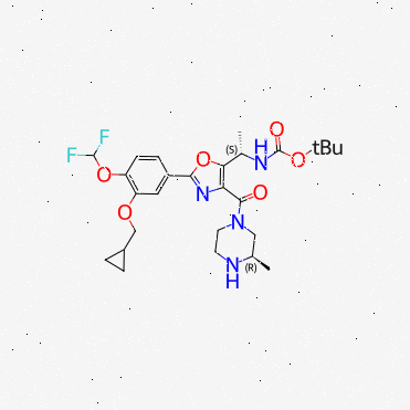 C[C@@H]1CN(C(=O)c2nc(-c3ccc(OC(F)F)c(OCC4CC4)c3)oc2[C@H](C)NC(=O)OC(C)(C)C)CCN1